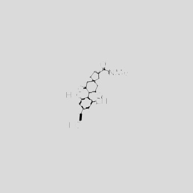 CC#Cc1cc(C)c(C2C(=O)CC3(CCC(C(=O)NC)C3)CC2=O)c(C)c1